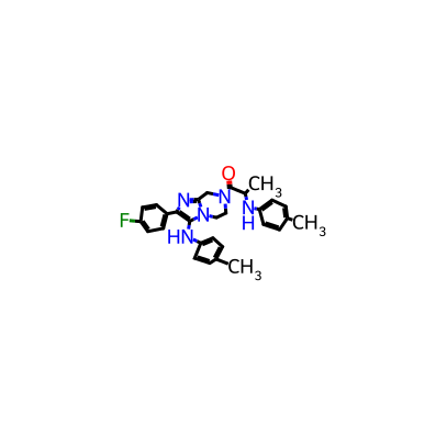 Cc1ccc(Nc2c(-c3ccc(F)cc3)nc3n2CCN(C(=O)C(C)Nc2ccc(C)cc2)C3)cc1